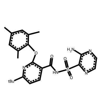 Cc1cc(C)c(Oc2nc(C(C)(C)C)ccc2C(=O)NS(=O)(=O)c2nccnc2N)c(C)c1